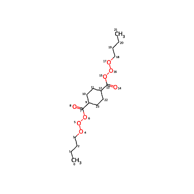 CCCCOOOC(=O)C1CCC(C(=O)OOOCCCC)CC1